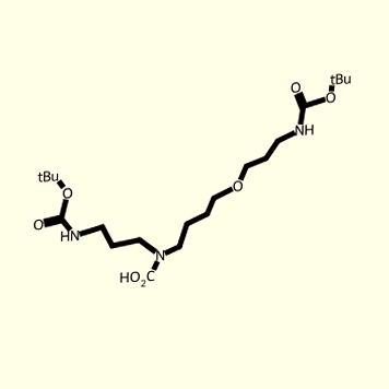 CC(C)(C)OC(=O)NCCCOCCCCN(CCCNC(=O)OC(C)(C)C)C(=O)O